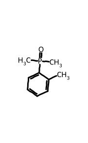 Cc1ccccc1P(C)(C)=O